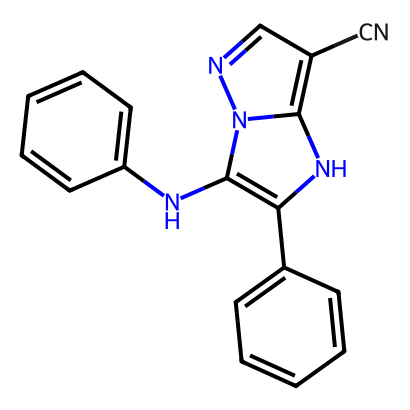 N#Cc1cnn2c(Nc3ccccc3)c(-c3ccccc3)[nH]c12